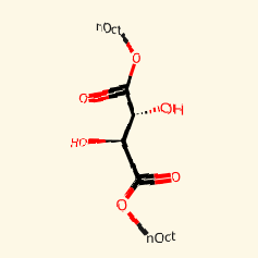 CCCCCCCCOC(=O)[C@@H](O)[C@@H](O)C(=O)OCCCCCCCC